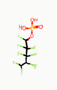 O=P(O)(O)OC(F)C(F)(F)C(F)(F)C(F)C(F)F